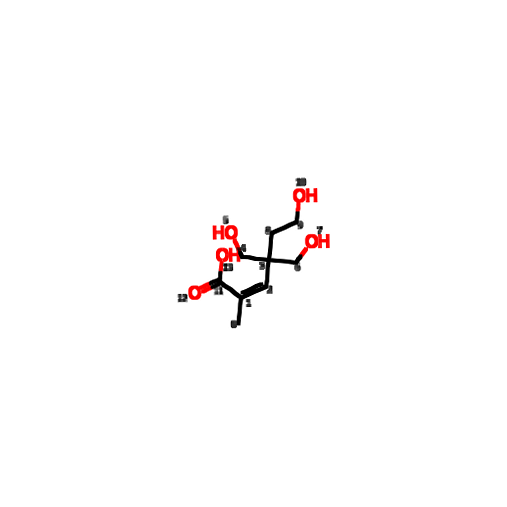 CC(=CC(CO)(CO)CCO)C(=O)O